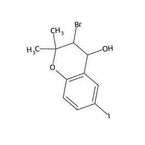 CC1(C)Oc2ccc(I)cc2C(O)C1Br